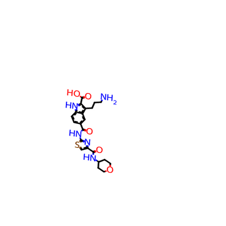 NCCCc1c(C(=O)O)[nH]c2ccc(C(=O)Nc3nc(C(=O)NC4CCOCC4)cs3)cc12